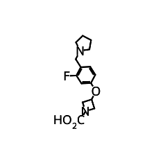 O=C(O)N1CC(Oc2ccc(CN3CCCC3)c(F)c2)C1